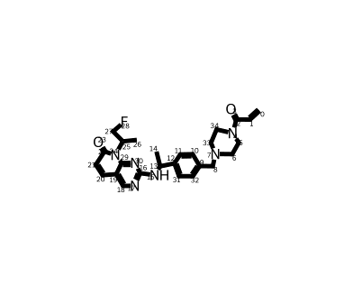 C=CC(=O)N1CCN(Cc2ccc(C(C)Nc3ncc4ccc(=O)n(C(C)CF)c4n3)cc2)CC1